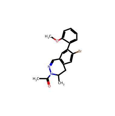 COc1ccccc1-c1cc2c(cc1Br)CC(C)N(C(C)=O)N=C2